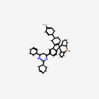 N#CC1=CCC(C2CCC3=C(C2)C2C=C(C4CC(C5C=CCCC5)NC(C5CC=CCC5)N4)C=CC2C32C3CCCCC3SC3CCCCC32)C=C1